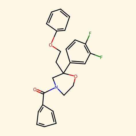 O=C(c1ccccc1)N1CCOC(CCOc2ccccc2)(c2ccc(F)c(F)c2)C1